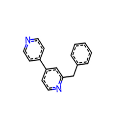 c1ccc(Cc2cc(-c3ccncc3)ccn2)cc1